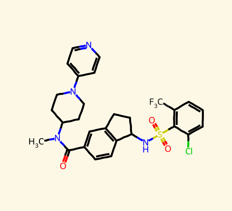 CN(C(=O)c1ccc2c(c1)CCC2NS(=O)(=O)c1c(Cl)cccc1C(F)(F)F)C1CCN(c2ccncc2)CC1